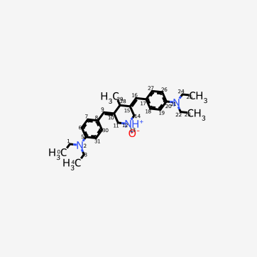 CCN(CC)c1ccc(C=C2C[NH+]([O-])CC(=Cc3ccc(N(CC)CC)cc3)C2C)cc1